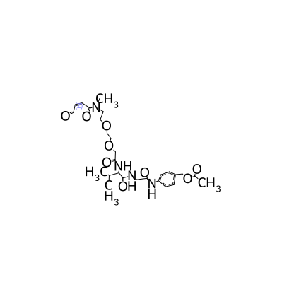 CC(=O)OCc1ccc(NC(=O)CNC(=O)C(NC(=O)COCCOCCN(C)C(=O)/C=C\C=O)C(C)C)cc1